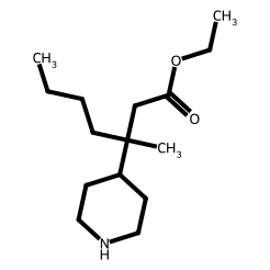 CCCCC(C)(CC(=O)OCC)C1CCNCC1